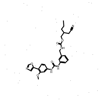 CCCC(CC#N)COC(=O)NCc1cccc(NC(=O)Nc2ccc(-c3cnco3)c(OC)c2)c1